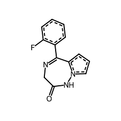 O=C1CN=C(c2ccccc2F)c2cccn2N1